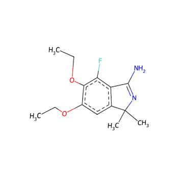 CCOc1cc2c(c(F)c1OCC)C(N)=NC2(C)C